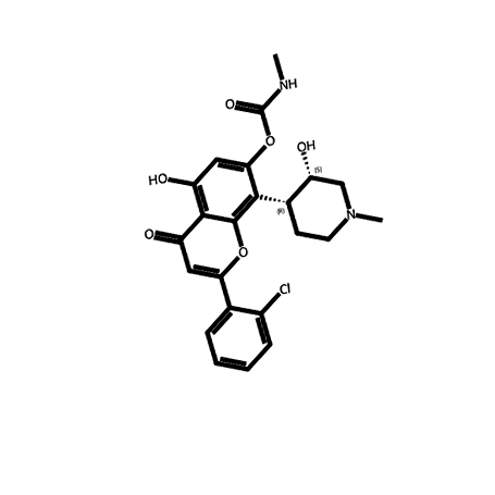 CNC(=O)Oc1cc(O)c2c(=O)cc(-c3ccccc3Cl)oc2c1[C@H]1CCN(C)C[C@H]1O